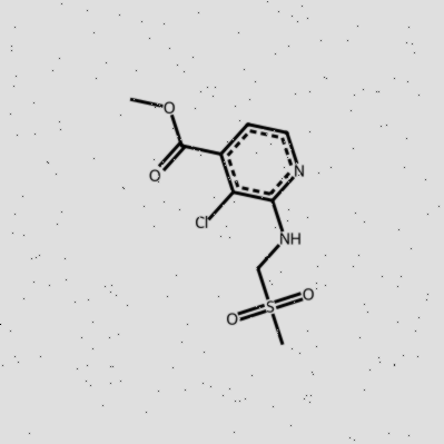 COC(=O)c1ccnc(NCS(C)(=O)=O)c1Cl